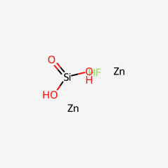 F.O=[Si](O)O.[Zn].[Zn]